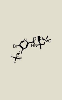 C#CC(C)(CS(C)(=O)=O)NC(=O)c1cc(OCC(F)(F)F)c(Br)cn1